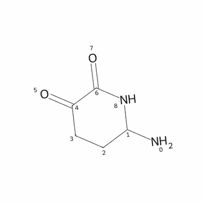 NC1CCC(=O)C(=O)N1